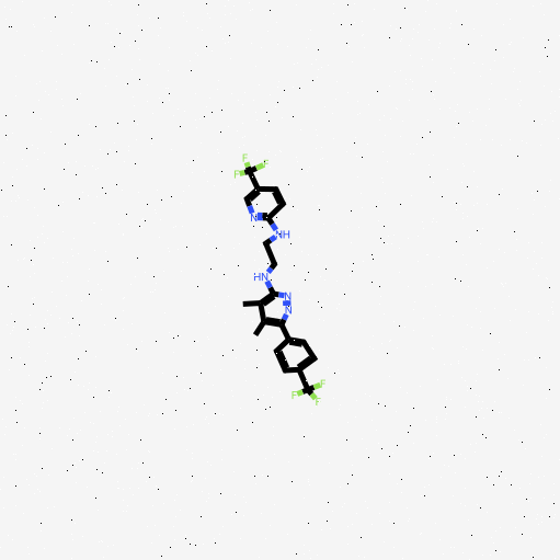 Cc1c(NCCNc2ccc(C(F)(F)F)cn2)nnc(-c2ccc(C(F)(F)F)cc2)c1C